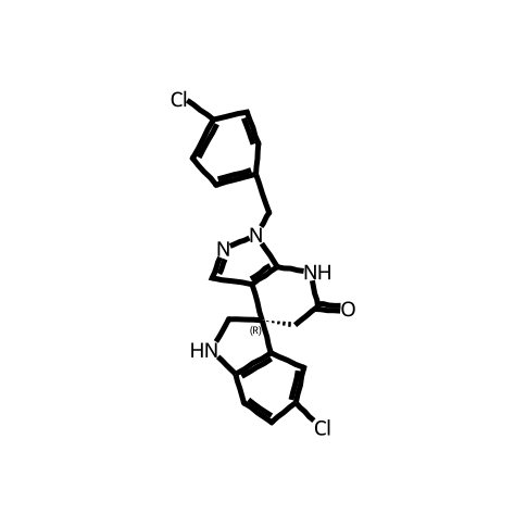 O=C1C[C@]2(CNc3ccc(Cl)cc32)c2cnn(Cc3ccc(Cl)cc3)c2N1